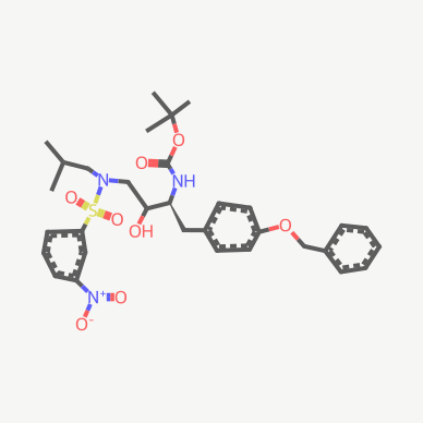 CC(C)CN(CC(O)[C@H](Cc1ccc(OCc2ccccc2)cc1)NC(=O)OC(C)(C)C)S(=O)(=O)c1cccc([N+](=O)[O-])c1